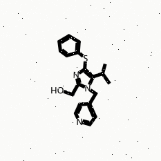 CC(C)c1c(Sc2ccccc2)nc(CO)n1Cc1ccncc1